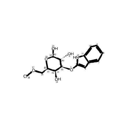 O[C@@H]1[C@@H](Oc2cc3ccccc3[nH]2)[C@@H](O)[C@@H](COCl)O[C@H]1O